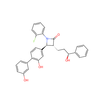 O=C1[C@H](CC[C@H](O)c2ccccc2)[C@@H](c2ccc(-c3cccc(O)c3)c(O)c2)N1c1ccccc1F